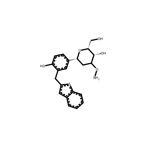 NOC1C[C@H](c2ccc(O)c(Cc3cc4ccccc4s3)c2)O[C@H](CO)[C@@H]1O